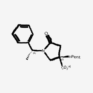 CCCCC[C@]1(C(=O)O)CC(=O)N([C@H](C)c2ccccc2)C1